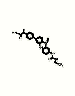 C=CN(c1cccc(NC(=O)NCC(F)(F)F)c1)c1ccc(-c2ccc(C(C)C(=O)NC)cc2)cc1N